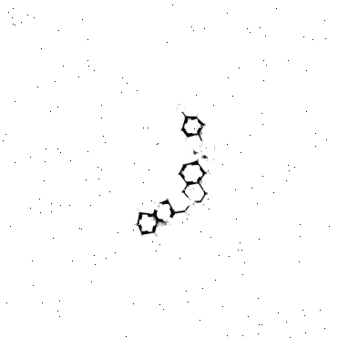 O=S(=O)(Nc1ccc(F)cc1)c1ccc2c(c1)CCN(Cc1cnc3ccccc3n1)C2